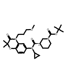 COCCCN1C(=O)C(C)(C)Oc2ccc(N(C(=O)[C@@H]3CCCN(C(=O)OC(C)(C)C)C3)C3CC3)cc21